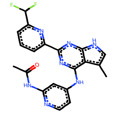 CC(=O)Nc1cc(Nc2nc(-c3cccc(C(F)F)n3)nc3[nH]cc(C)c23)ccn1